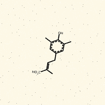 CC(=CCc1cc(C)c(O)c(C)c1)C(=O)O